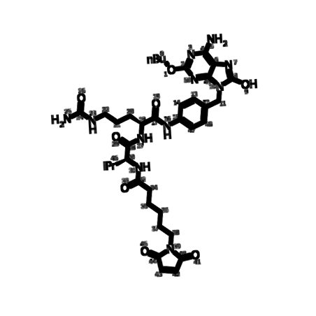 CCCCOc1nc(N)c2nc(O)n(Cc3ccc(NC(=O)[C@H](CCCNC(N)=O)NC(=O)[C@@H](NC(=O)CCCCCN4C(=O)C=CC4=O)C(C)C)cc3)c2n1